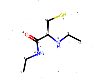 CCNC(=O)[C@@H](CS)NCC